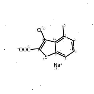 Cc1cccc2sc(C(=O)[O-])c(Cl)c12.[Na+]